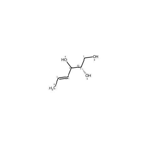 CC=CC(O)[C@@H](O)CO